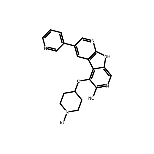 CCN1CCC(Oc2c(C#N)ncc3[nH]c4ncc(-c5cccnc5)cc4c23)CC1